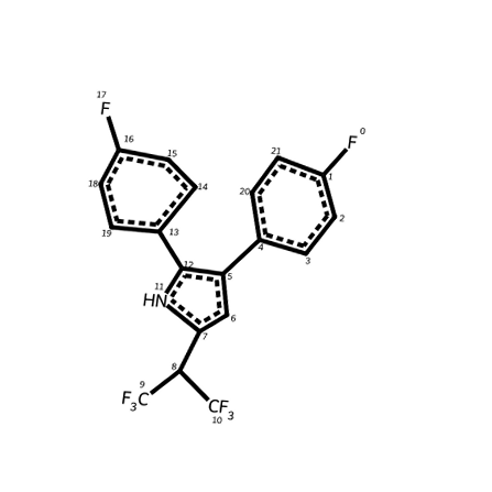 Fc1ccc(-c2cc(C(C(F)(F)F)C(F)(F)F)[nH]c2-c2ccc(F)cc2)cc1